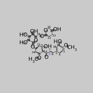 COc1ccc(/C=C/C(=O)c2c(O)cc(O[C@@H]3O[C@@H](CO[C@@H]4CC[C@H](O)CO4)[C@@H](O)[C@@H](O)[C@H]3O)cc2OC)cc1O